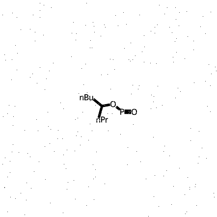 CCCCC(CCC)OP=O